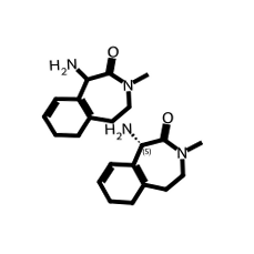 CN1CCC2=C(C=CCC2)C(N)C1=O.CN1CCC2=C(C=CCC2)[C@H](N)C1=O